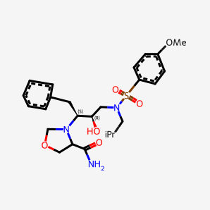 COc1ccc(S(=O)(=O)N(CC(C)C)C[C@@H](O)[C@H](Cc2ccccc2)N2COCC2C(N)=O)cc1